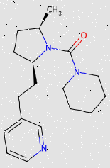 C[C@@H]1CC[C@H](CCc2cccnc2)N1C(=O)N1CCCCC1